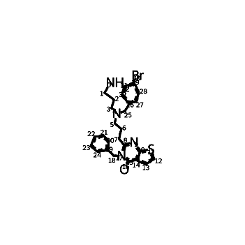 NCCCN(CCCc1nc2sccc2c(=O)n1Cc1ccccc1)Cc1ccc(Br)cc1